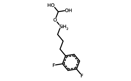 OC(O)O[SiH2]CCCc1ccc(F)cc1F